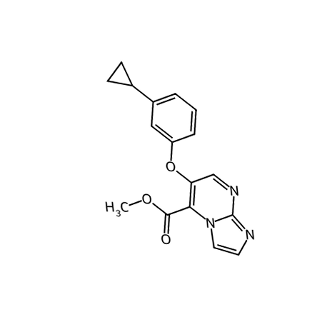 COC(=O)c1c(Oc2cccc(C3CC3)c2)cnc2nccn12